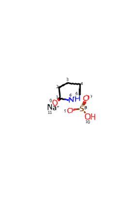 O=C1CCCCN1.O=S([O-])O.[Na+]